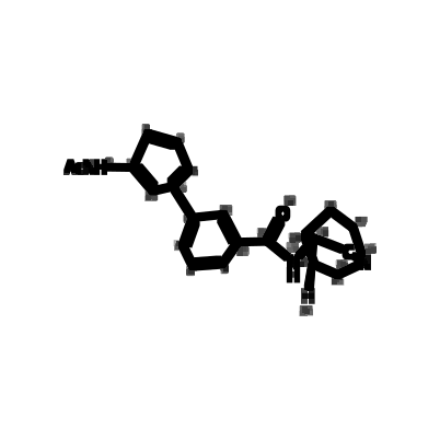 CC(=O)Nc1cccc(-c2cccc(C(=O)N[C@H]3CN4CCC3CC4)c2)c1